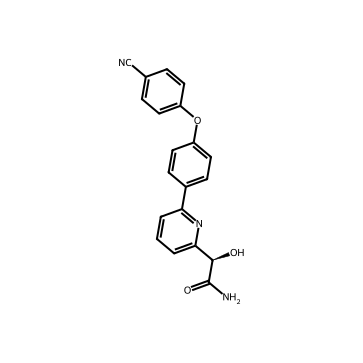 N#Cc1ccc(Oc2ccc(-c3cccc([C@@H](O)C(N)=O)n3)cc2)cc1